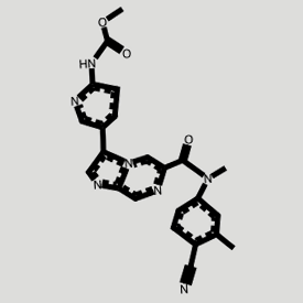 COC(=O)Nc1ccc(-c2cnc3cnc(C(=O)N(C)c4ccc(C#N)c(C)c4)cn23)cn1